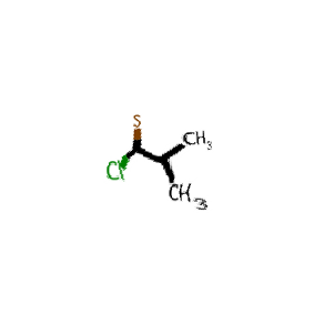 CC(C)C(=S)Cl